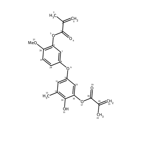 C=C(C)C(=O)Oc1cc(Oc2cc(C)c(O)c(OC(=O)C(=C)C)c2)ccc1OC